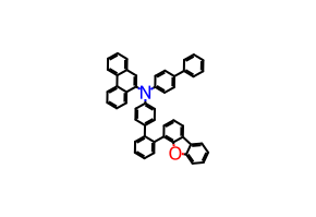 c1ccc(-c2ccc(N(c3ccc(-c4ccccc4-c4cccc5c4oc4ccccc45)cc3)c3cc4ccccc4c4ccccc34)cc2)cc1